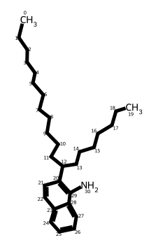 CCCCCCCCCCCCC(CCCCCCC)c1ccc2ccccc2c1N